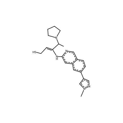 CC(/C(=C/CS)Nc1cc2cc(-c3cnn(C)c3)ccc2cn1)N1CCCC1